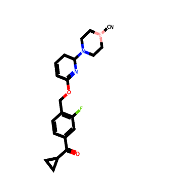 N#CB1CCN(C2CC=CC(OCc3ccc(C(=O)C4CC4)cc3F)=N2)CC1